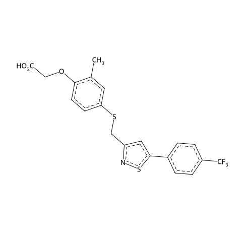 Cc1cc(SCc2cc(-c3ccc(C(F)(F)F)cc3)sn2)ccc1OCC(=O)O